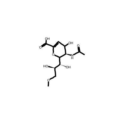 COC[C@@H](O)[C@@H](O)C1OC(C(=O)O)=CC(O)[C@H]1NC(C)=O